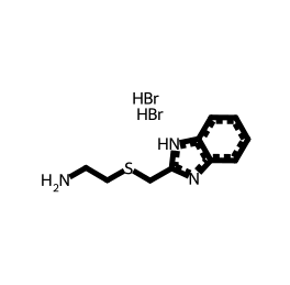 Br.Br.NCCSCc1nc2ccccc2[nH]1